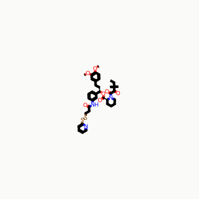 CCC(C)(C)C(=O)C(=O)N1CCCC[C@H]1C(=O)O[C@H](CCc1ccc(OC)c(OC)c1)c1cccc(NC(=O)CCSSc2ccccn2)c1